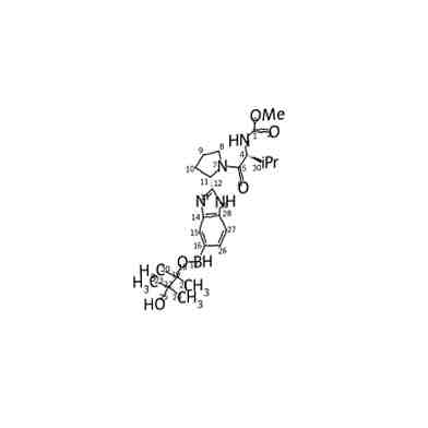 COC(=O)N[C@H](C(=O)N1CCC[C@H]1c1nc2cc(BOC(C)(C)C(C)(C)O)ccc2[nH]1)C(C)C